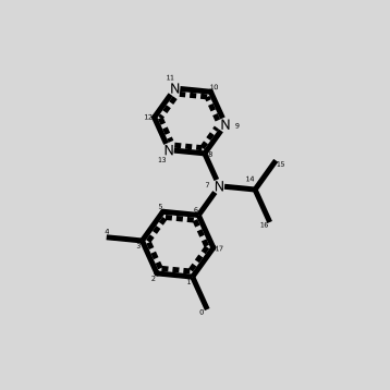 Cc1cc(C)cc(N(c2ncncn2)C(C)C)c1